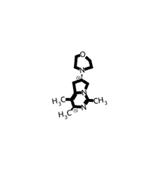 CC1=N[C@@H](C)C(C)=C2C[C@H](N3CCOCC3)CN12